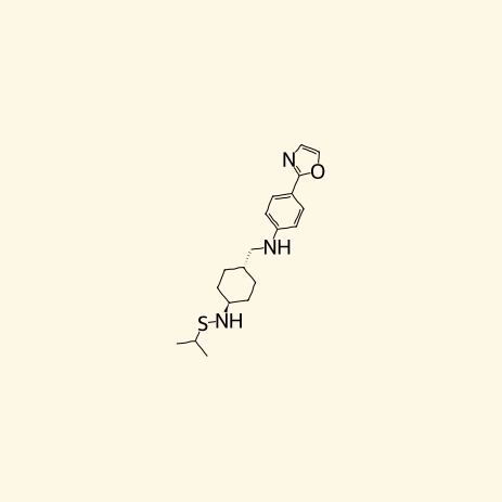 CC(C)SN[C@H]1CC[C@H](CNc2ccc(-c3ncco3)cc2)CC1